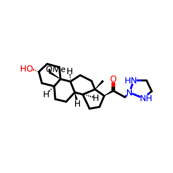 COC[C@]12CC[C@@H](O)C[C@@H]1CC[C@H]1[C@@H]3CC[C@H](C(=O)CN4NCCN4)[C@@]3(C)CC[C@@H]12